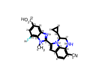 Cn1c(-c2cc3ccc(C#N)c4c3n2C(C2CC2)CN4)nc2cc(C(=O)O)cc(F)c21